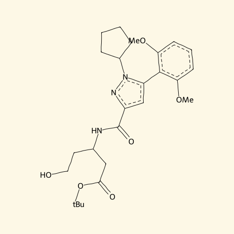 COc1cccc(OC)c1-c1cc(C(=O)NC(CCO)CC(=O)OC(C)(C)C)nn1C1CCCC1